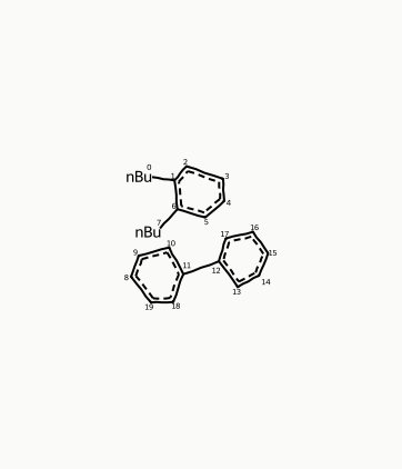 CCCCc1ccccc1CCCC.c1ccc(-c2ccccc2)cc1